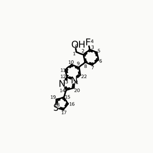 OCc1c(F)cccc1-c1ccc2nc(-c3ccsc3)cn2c1